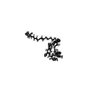 CC1(CCCCCCCCCCCCS(=O)(=O)CCCOP(=O)(O)CO[C@H](CO)Cn2cnc(N)cc2=O)COC1